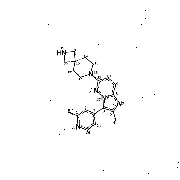 Cc1cc(-c2c(C)nc3ccc(N4CCC5(CC4)CNC5)nn23)ccn1